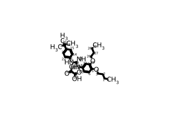 CCCCOc1ccc(NC(=N)Nc2ccc(C(C)(C)C)cc2)cc1OCCCC.O=C(O)C(=O)O